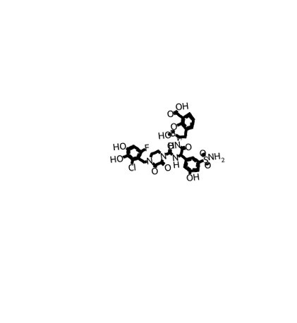 NS(=O)(=O)c1cc(O)cc(C(NC(=O)N2CCN(Cc3c(F)cc(O)c(O)c3Cl)C(=O)C2=O)C(=O)N[C@H]2Cc3cccc(C(=O)O)c3OB2O)c1